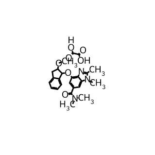 COC1Cc2ccccc2C1Oc1cc(C(=O)N(C)C)cc2c1nc(C)n2C.O=C(O)C(=O)O